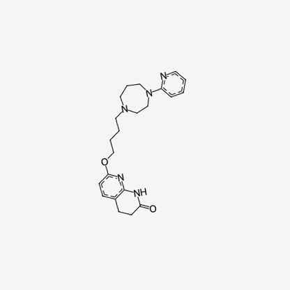 O=C1CCc2ccc(OCCCCN3CCCN(c4ccccn4)CC3)nc2N1